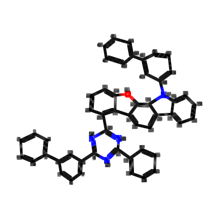 c1ccc(-c2cccc(-c3nc(-c4ccccc4)nc(-c4cccc5oc6c(ccc7c8ccccc8n(-c8cccc(-c9ccccc9)c8)c76)c45)n3)c2)cc1